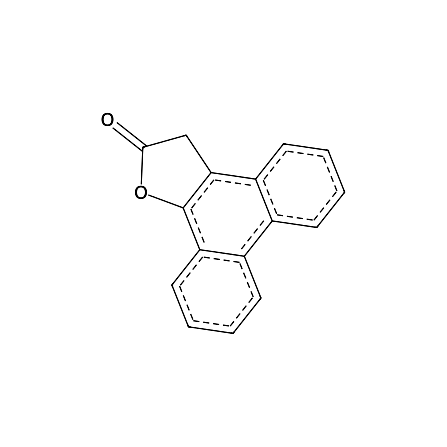 O=C1Cc2c(c3ccccc3c3ccccc23)O1